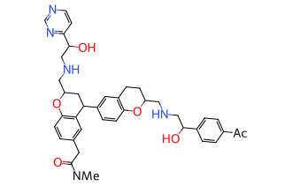 CNC(=O)Cc1ccc2c(c1)C(c1ccc3c(c1)CCC(CNCC(O)c1ccc(C(C)=O)cc1)O3)CC(CNCC(O)c1ccncn1)O2